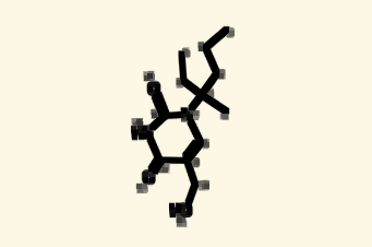 CCCC(C)(CC)n1cc(CO)c(=O)[nH]c1=O